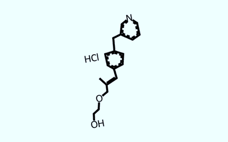 C/C(=C\c1ccc(Cc2cccnc2)cc1)COCCO.Cl